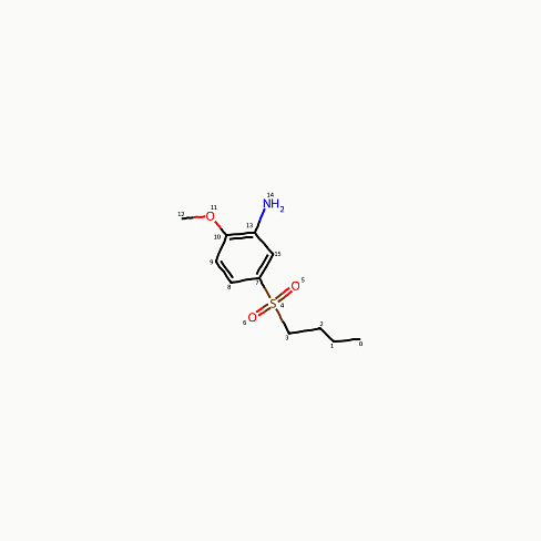 CCCCS(=O)(=O)c1ccc(OC)c(N)c1